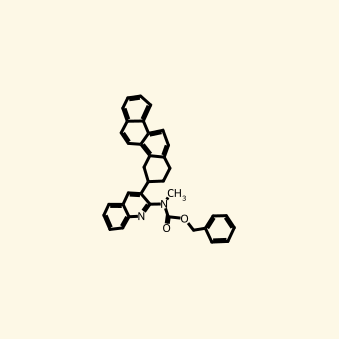 CN(C(=O)OCc1ccccc1)c1nc2ccccc2cc1C1CCc2ccc3c(ccc4ccccc43)c2C1